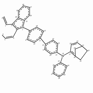 C=Cc1c(/C=C\C)n(-c2ccc(-c3ccc(N(C4=C5CCC(C=C4)C5)c4ccccc4)cc3)cc2)c2ccccc12